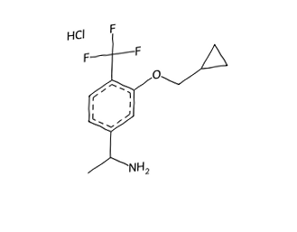 CC(N)c1ccc(C(F)(F)F)c(OCC2CC2)c1.Cl